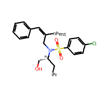 CCCCCC(=Cc1ccccc1)CN([C@@H](CO)CC(C)C)S(=O)(=O)c1ccc(Cl)cc1